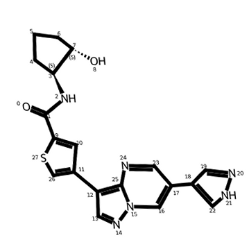 O=C(N[C@H]1CCC[C@@H]1O)c1cc(-c2cnn3cc(-c4cn[nH]c4)cnc23)cs1